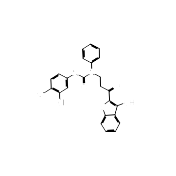 Cc1c(C(=O)CCN(C(=O)Nc2ccc(Cl)c(Cl)c2)c2ccccc2)sc2ccccc12